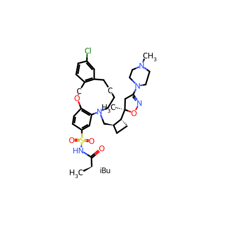 CC[C@H](C)[C@@H](C)C(=O)NS(=O)(=O)c1ccc2c(c1)N(C[C@@H]1CC[C@H]1[C@@]1(C)CC(N3CCN(C)CC3)=NO1)CCCCc1cc(Cl)ccc1CO2